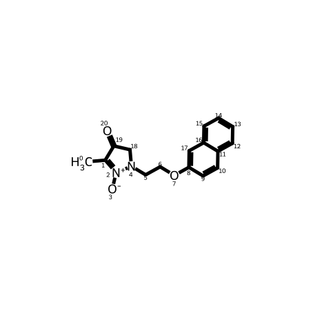 CC1=[N+]([O-])N(CCOc2ccc3ccccc3c2)CC1=O